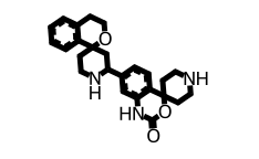 O=C1Nc2cc(C3CC4(CCN3)OCCc3ccccc34)ccc2C2(CCNCC2)O1